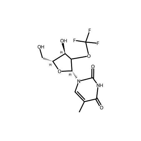 Cc1cn([C@@H]2O[C@H](CO)[C@@H](O)C2OC(F)(F)F)c(=O)[nH]c1=O